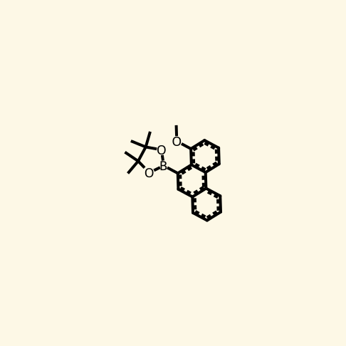 COc1cccc2c1c(B1OC(C)(C)C(C)(C)O1)cc1ccccc12